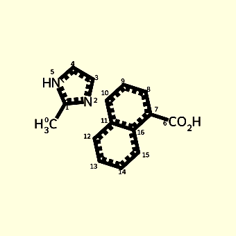 Cc1ncc[nH]1.O=C(O)c1cccc2ccccc12